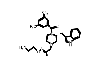 CC(CN1CCN(C(=O)c2cc(C(F)(F)F)cc(C(F)(F)F)c2)[C@H](Cc2c[nH]c3ccccc23)C1)=NOCCN